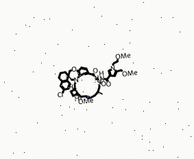 COCCn1cc(C(=O)N[S@@]2(=O)=NC(=O)c3ccc4c(c3)N(C[C@@H]3CC[C@H]3[C@@H](OC)/C=C/C[C@H](C)C2)C[C@@]2(CCCc3cc(Cl)ccc32)CO4)cc1COC